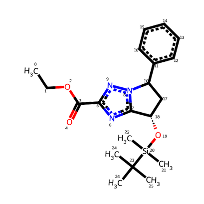 CCOC(=O)c1nc2n(n1)C(c1ccccc1)C[C@@H]2O[Si](C)(C)C(C)(C)C